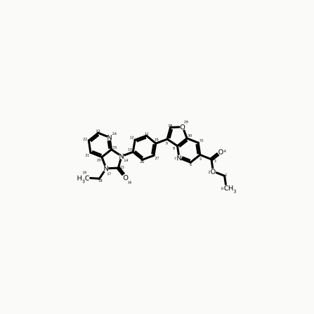 CCOC(=O)c1cnc2c(-c3ccc(-n4c(=O)n(CC)c5cccnc54)cc3)coc2c1